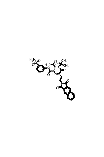 CC(C)C[C@H](N[C@H](CCN1C(=O)c2cc3ccccc3cc2C1=O)C(=O)OC(C)(C)C)C(=O)Nc1cccc(S(N)(=O)=O)c1